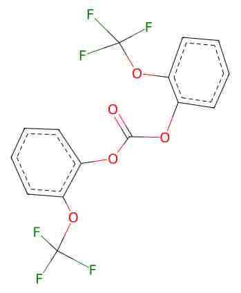 O=C(Oc1ccccc1OC(F)(F)F)Oc1ccccc1OC(F)(F)F